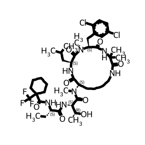 CC[C@H](NC(=O)C1(C(F)(F)F)CCCCC1)C(=O)N[C@H](C(=O)N(C)[C@H]1CCCCNC(=O)C(C)(C)NC(=O)[C@H](Cc2cc(Cl)ccc2Cl)N(C)C(=O)[C@H](CC(C)C)NC1=O)[C@@H](C)O